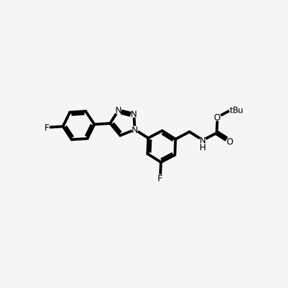 CC(C)(C)OC(=O)NCc1cc(F)cc(-n2cc(-c3ccc(F)cc3)nn2)c1